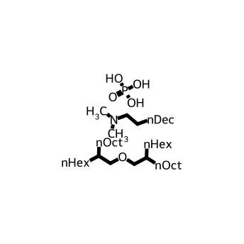 CCCCCCCCC(CCCCCC)COCC(CCCCCC)CCCCCCCC.CCCCCCCCCCCCN(C)C.O=P(O)(O)O